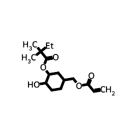 C=CC(=O)OCC1CCC(O)C(OC(=O)C(C)(C)CC)C1